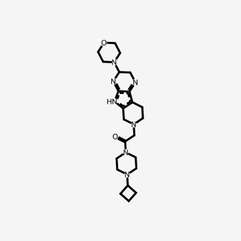 O=C(CN1CCc2c([nH]c3c2=NCC(N2CCOCC2)N=3)C1)N1CCN(C2CCC2)CC1